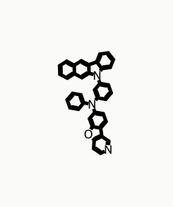 c1ccc(N(c2cccc(-n3c4ccccc4c4cc5ccccc5cc43)c2)c2ccc3c(c2)oc2ccncc23)cc1